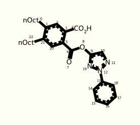 CCCCCCCCc1cc(C(=O)O)c(C(=O)Oc2cnn(-c3ccccc3)n2)cc1CCCCCCCC